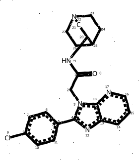 O=C(Cn1c(-c2ccc(Cl)cc2)nc2cccnc21)NC1CN2CCC1CC2